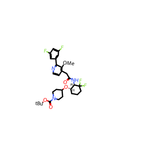 COc1c(CC(=O)N[C@@H]2[C@@H](OC3CCN(C(=O)OC(C)(C)C)CC3)CCCC2(F)F)ccnc1-c1cc(F)cc(F)c1